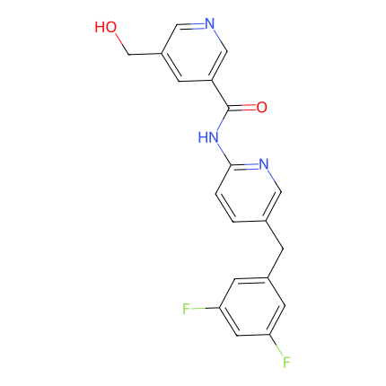 O=C(Nc1ccc(Cc2cc(F)cc(F)c2)cn1)c1cncc(CO)c1